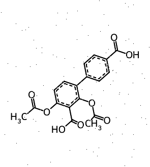 CC(=O)Oc1ccc(-c2ccc(C(=O)O)cc2)c(OC(C)=O)c1C(=O)O